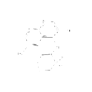 N#Cc1ccc2ncc(N)c(NC3CCOCC3(F)F)c2c1